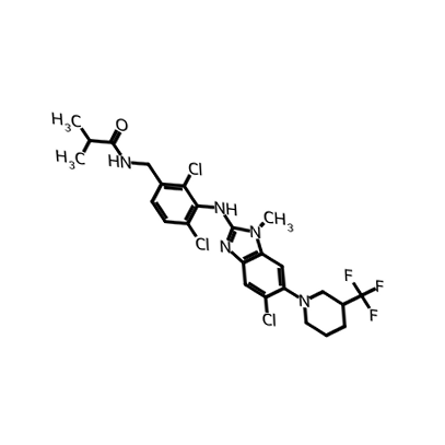 CC(C)C(=O)NCc1ccc(Cl)c(Nc2nc3cc(Cl)c(N4CCCC(C(F)(F)F)C4)cc3n2C)c1Cl